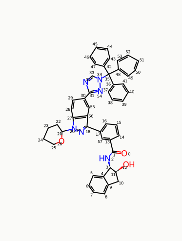 O=C(N[C@@H]1c2ccccc2C[C@@H]1O)c1cccc(-c2nn(C3CCCCO3)c3ccc(-c4ncn(C(c5ccccc5)(c5ccccc5)c5ccccc5)n4)cc23)c1